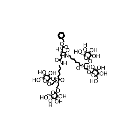 O=C(CC[C@@H](NC(=O)OCc1ccccc1)C(=O)NCCCCCC(=O)N(CCO[C@H]1O[C@H](CO)[C@@H](O)[C@H](O)[C@@H]1O)CCO[C@H]1O[C@H](CO)[C@@H](O)[C@H](O)[C@@H]1O)NCCCCCC(=O)N(CCO[C@H]1O[C@H](CO)[C@@H](O)[C@H](O)[C@@H]1O)CCO[C@H]1O[C@H](CO)[C@@H](O)[C@H](O)[C@@H]1O